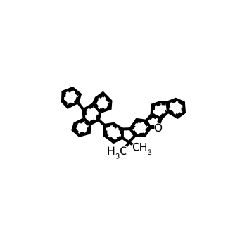 CC1(C)c2ccc(-c3c4ccccc4c(-c4ccccc4)c4ccccc34)cc2-c2cc3c(cc21)oc1c2ccccc2ccc31